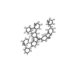 c1ccc(-c2ccccc2-c2ccc3c(c2)c2cc(-c4ccccc4-c4ccccn4)ccc2n3-c2ccc3sc4ccc(-c5cccnc5)cc4c3c2)nc1